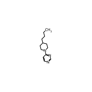 CCCCC1CCN(c2ccncn2)CC1